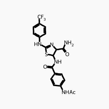 CC(=O)Nc1ccc(C(=O)NC2SC(Nc3ccc(C(F)(F)F)cc3)=NC2C(N)=O)cc1